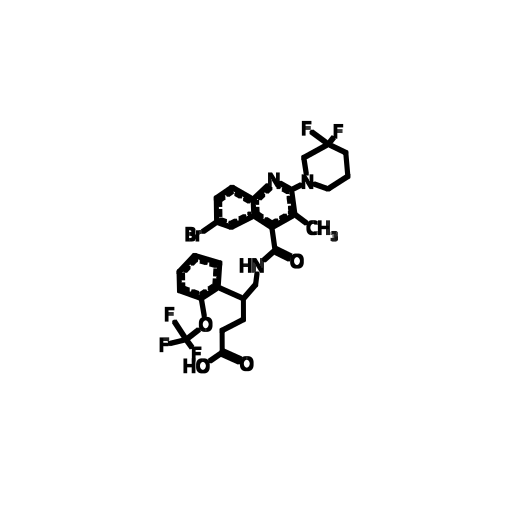 Cc1c(N2CCCC(F)(F)C2)nc2ccc(Br)cc2c1C(=O)NCC(CCC(=O)O)c1ccccc1OC(F)(F)F